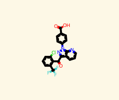 O=C(O)c1ccc(-n2nc(C(=O)c3c(Cl)cccc3C(F)(F)F)c3cccnc32)cc1